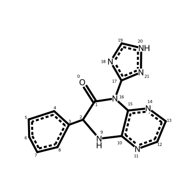 O=C1C(c2ccccc2)Nc2nccnc2N1c1nc[nH]n1